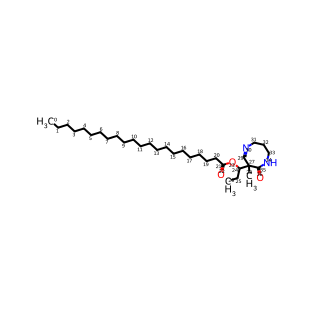 CCCCCCCCCCCCCCCCCCCCCC(=O)OC(CC)C1(C)C=NCCCNC1=O